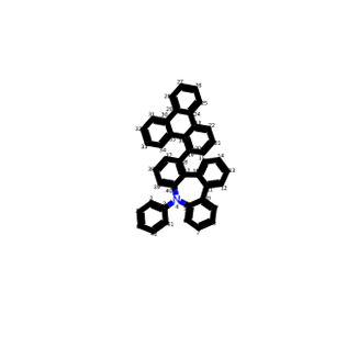 c1ccc(N2c3ccccc3-c3ccccc3-c3c(-c4cccc5c6ccccc6c6ccccc6c45)cccc32)cc1